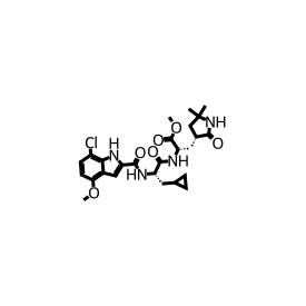 COC(=O)[C@H](C[C@@H]1CC(C)(C)NC1=O)NC(=O)[C@H](CC1CC1)NC(=O)c1cc2c(OC)ccc(Cl)c2[nH]1